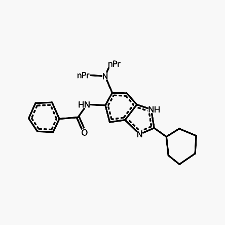 CCCN(CCC)c1cc2[nH]c(C3CCCCC3)nc2cc1NC(=O)c1ccccc1